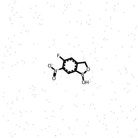 O=[N+]([O-])c1cc2c(cc1F)COB2O